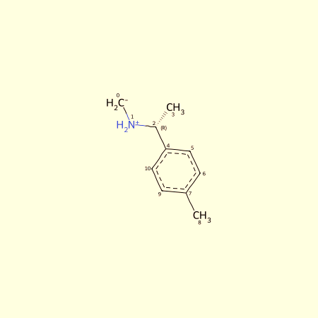 [CH2-][NH2+][C@H](C)c1ccc(C)cc1